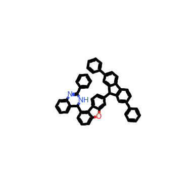 c1ccc(C2=Nc3ccccc3C(c3cccc4oc5cc(C6c7cc(-c8ccccc8)ccc7-c7ccc(-c8ccccc8)cc76)ccc5c34)N2)cc1